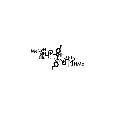 CC[C@H](NC(=O)[C@H](C)NC)C(=O)N1CCC[C@H]1Cn1c(-c2[nH]c3cc(F)ccc3c2C[C@@H]2CCCN2C(=O)[C@@H](NC(=O)[C@H](C)NC)C(C)(C)C)nc2cc(F)ccc21